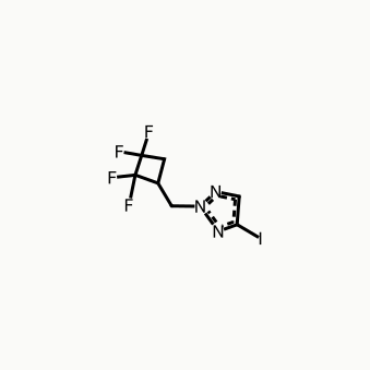 FC1(F)CC(Cn2ncc(I)n2)C1(F)F